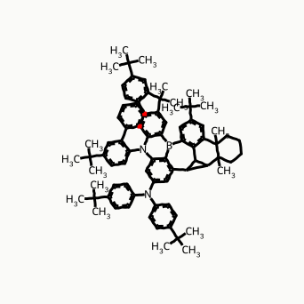 CC(C)(C)c1ccc(N(c2ccc(C(C)(C)C)cc2)c2cc3c4c(c2)N(c2ccc(C(C)(C)C)cc2-c2ccccc2)c2cc5c(cc2B4c2cc(C(C)(C)C)cc4c2C2C3C2C2(C)CCCCC42C)C(C)(C)c2cc(C(C)(C)C)ccc2-5)cc1